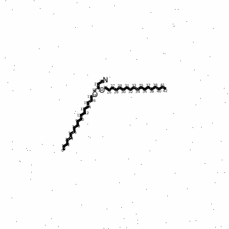 CCCCCCCCCCCCCCCCCCOC[C@H](CC#N)OCCCCCCCCCCCCCCCCCC